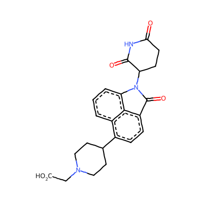 O=C(O)CN1CCC(c2ccc3c4c(cccc24)N(C2CCC(=O)NC2=O)C3=O)CC1